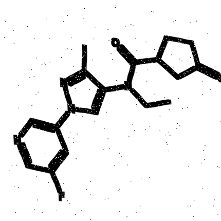 CCN(C(=O)C1CCC(=O)C1)c1cn(-c2cncc(F)c2)nc1C